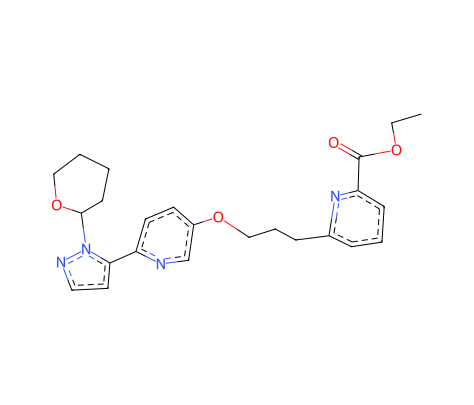 CCOC(=O)c1cccc(CCCOc2ccc(-c3ccnn3C3CCCCO3)nc2)n1